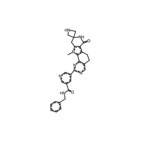 Cn1c2c(c3c1-c1nc(-c4cncc(C(=O)NCc5ccccc5)c4)ncc1CC3)C(=O)NC1(CNC1)C2